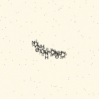 O=C(Nc1ccncc1)c1ccc2c(c1)CC(c1ccc(NC(=O)C3CCCCC3)cc1)N2